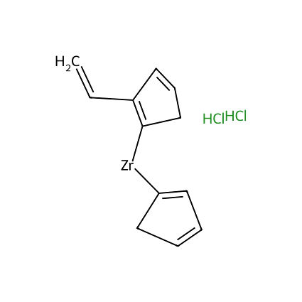 C=CC1=[C]([Zr][C]2=CC=CC2)CC=C1.Cl.Cl